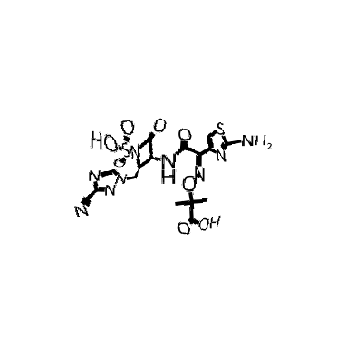 CC(C)(ON=C(C(=O)N[C@@H]1C(=O)N(S(=O)(=O)O)[C@@H]1Cn1cnc(C#N)n1)c1csc(N)n1)C(=O)O